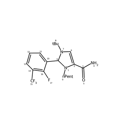 CCCCCN1C(C(N)=O)=CN(C(C)(C)C)C1c1cccc(C(F)(F)F)c1F